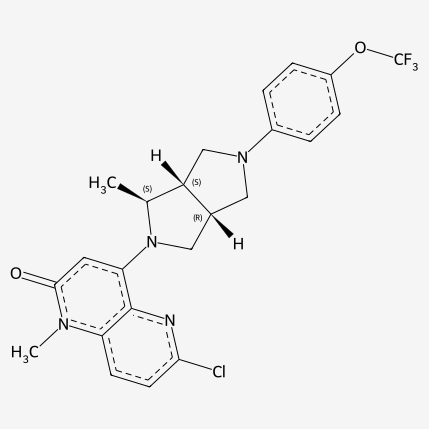 C[C@H]1[C@@H]2CN(c3ccc(OC(F)(F)F)cc3)C[C@@H]2CN1c1cc(=O)n(C)c2ccc(Cl)nc12